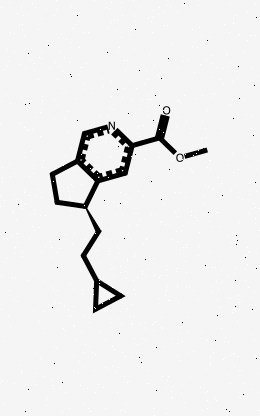 COC(=O)c1cc2c(cn1)CC[C@@H]2CCC1CC1